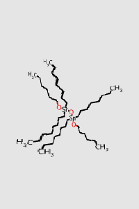 CCCCCCC[CH2][Sn]([CH2]CCCCCCC)([O]CCCCCC)[O][Sn]([CH2]CCCCCCC)([CH2]CCCCCCC)[O]CCCCCC